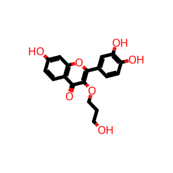 O=c1c(OCCCO)c(-c2ccc(O)c(O)c2)oc2cc(O)ccc12